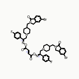 O=C(/C=C/C(=O)O/N=C(\CN1CCC(CN2Cc3cc(Br)ccc3C2=O)CC1)c1ccc(F)cc1)O/N=C(\CN1CCC(CN2Cc3cc(Br)ccc3C2=O)CC1)c1ccc(F)cc1